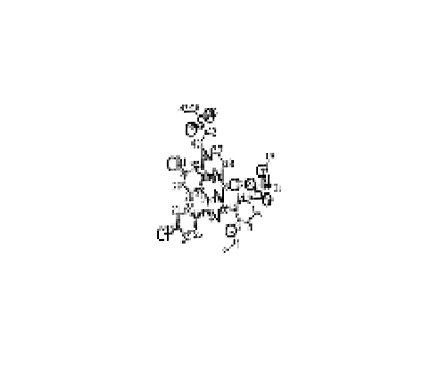 CCOc1ccc(S(=O)(=O)N(C)OC)cc1C1=N[C@@H](c2ccc(Cl)cc2)[C@@H](c2ccc(Cl)cc2)N1C(=O)N1CCN(CCS(=O)(=O)CC)CC1